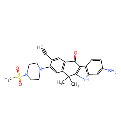 C#Cc1cc2c(cc1N1CCN(S(C)(=O)=O)CC1)C(C)(C)c1[nH]c3cc(N)ccc3c1C2=O